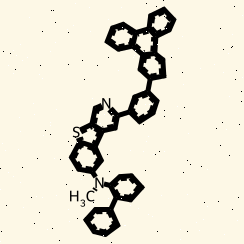 CN(c1ccc2sc3cnc(-c4cccc(-c5ccc6c7ccccc7c7ccccc7c6c5)c4)cc3c2c1)c1ccccc1-c1ccccc1